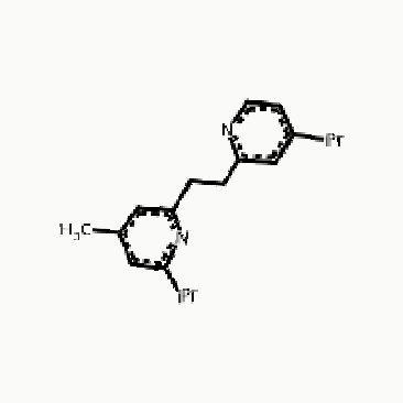 Cc1cc(CCc2cc(C(C)C)ccn2)nc(C(C)C)c1